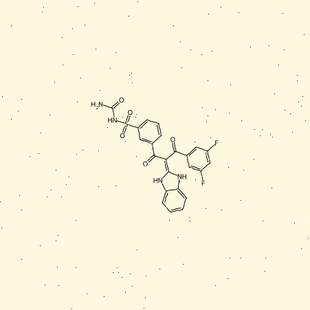 NC(=O)NS(=O)(=O)c1cccc(C(=O)C(C(=O)c2cc(F)cc(F)c2)=C2Nc3ccccc3N2)c1